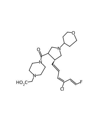 O=C(O)CN1CCN(C(=O)C2CN(C3CCOCC3)C[C@H]2/C=C/C=C(Cl)\C=C\F)CC1